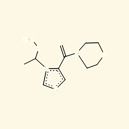 CC(OC=O)n1cncc1C(=O)N1CCOCC1